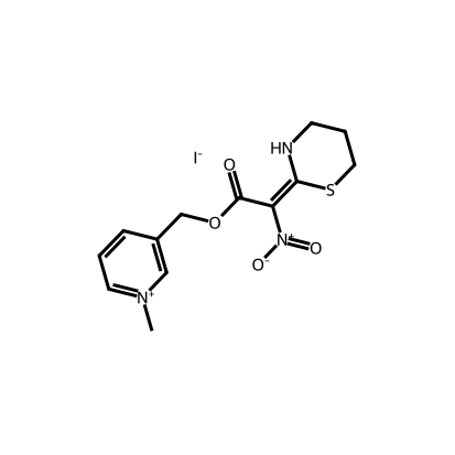 C[n+]1cccc(COC(=O)/C(=C2\NCCCS2)[N+](=O)[O-])c1.[I-]